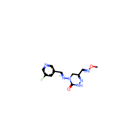 CO/N=C/C1=NNC(=O)N(/N=C/c2cncc(F)c2)C1